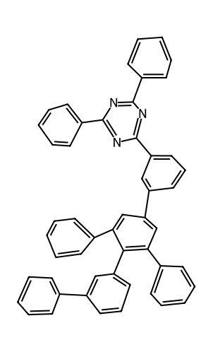 c1ccc(-c2cccc(-c3c(-c4ccccc4)cc(-c4cccc(-c5nc(-c6ccccc6)nc(-c6ccccc6)n5)c4)cc3-c3ccccc3)c2)cc1